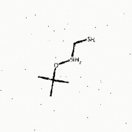 CC(C)(C)O[SiH2]CS